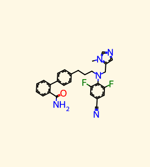 Cn1cncc1CN(CCCc1ccc(-c2ccccc2C(N)=O)cc1)c1c(F)cc(C#N)cc1F